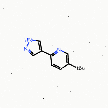 CC(C)(C)c1ccc(-c2cn[nH]c2)nc1